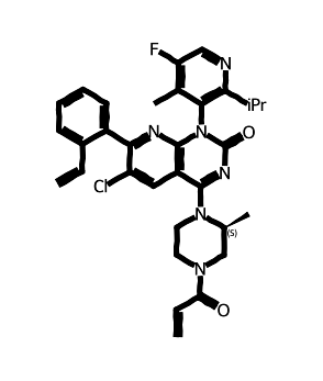 C=CC(=O)N1CCN(c2nc(=O)n(-c3c(C(C)C)ncc(F)c3C)c3nc(-c4ccccc4C=C)c(Cl)cc23)[C@@H](C)C1